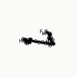 Cn1cc(NC(=O)c2coc(-c3ccnc(NCC(F)(F)F)c3)n2)c(C(=O)NCCOCCOCCOCCOCCCc2cccc3c2n(C)c(=O)n3C2CCC(=O)NC2=O)n1